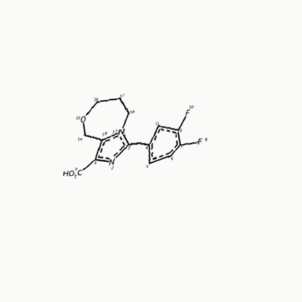 O=C(O)c1nc(-c2ccc(F)c(F)c2)n2c1COCCC2